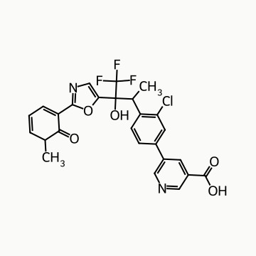 CC1C=CC=C(c2ncc(C(O)(C(C)c3ccc(-c4cncc(C(=O)O)c4)cc3Cl)C(F)(F)F)o2)C1=O